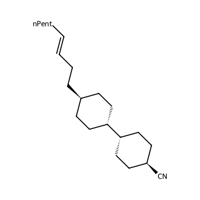 CCCCC/C=C/CC[C@H]1CC[C@H]([C@H]2CC[C@H](C#N)CC2)CC1